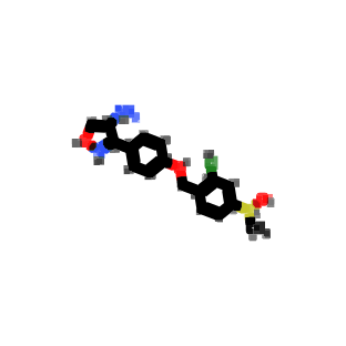 C[S+]([O-])c1ccc(COc2ccc(-c3nocc3N)cc2)c(Cl)c1